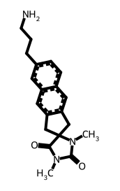 CN1C(=O)N(C)C2(Cc3cc4ccc(CCCN)cc4cc3C2)C1=O